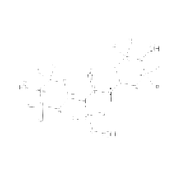 CC(C)(CO)N(C(=O)NC1CC(C)(C)N(O)C(C)(C)C1)C1CC(C)(C)N(O)C(C)(C)C1